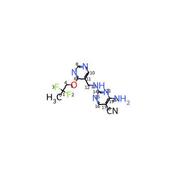 CC(F)(F)COc1ncncc1CNc1ncc(C#N)c(N)n1